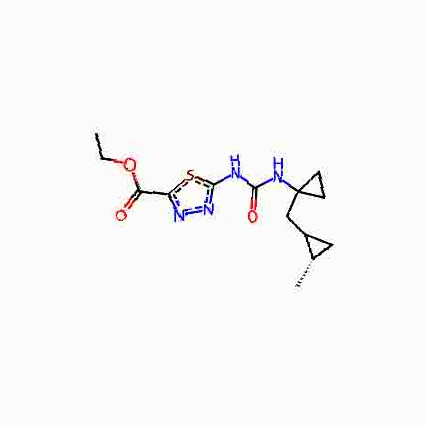 CCOC(=O)c1nnc(NC(=O)NC2(CC3C[C@@H]3C)CC2)s1